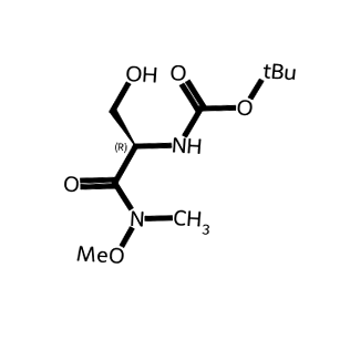 CON(C)C(=O)[C@@H](CO)NC(=O)OC(C)(C)C